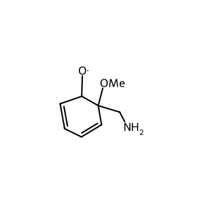 COC1(CN)C=CC=CC1[O]